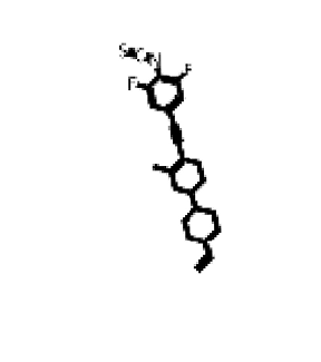 C=CC1CCC(C2CCC(C#Cc3cc(F)c(N=C=S)c(F)c3)=C(C)C2)CC1